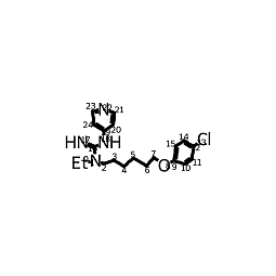 CCN(CCCCCCOc1ccc(Cl)cc1)C(=N)Nc1ccncc1